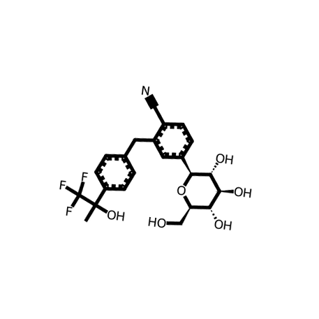 CC(O)(c1ccc(Cc2cc([C@@H]3O[C@H](CO)[C@@H](O)[C@H](O)[C@H]3O)ccc2C#N)cc1)C(F)(F)F